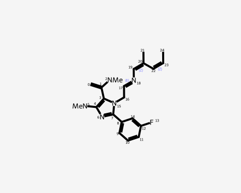 C=C(NC)c1c(NC)nc(-c2cccc(F)c2)n1C/C=N/C=C(C)\C=C/C